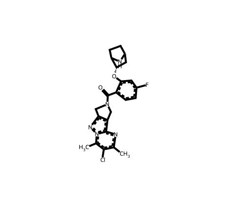 Cc1nc2c3c(nn2c(C)c1Cl)CN(C(=O)c1ccc(F)cc1O[C@H]1CC2CCC1N2)C3